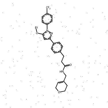 CCOc1cc(-c2ccc(CCC(=O)NCC3=CCOCC3)cc2)nn1-c1ccc(C(F)(F)F)cc1